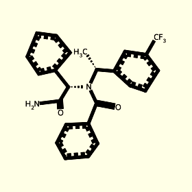 C[C@H](c1cccc(C(F)(F)F)c1)N(C(=O)c1ccccc1)[C@H](C(N)=O)c1ccccc1